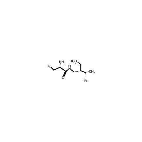 CC[C@@H](C)[C@@H](C)[C@H](CNC(=O)[C@@H](N)CC(C)C)CC(=O)O